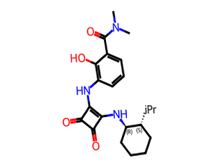 CC(C)[C@@H]1CCCC[C@H]1Nc1c(Nc2cccc(C(=O)N(C)C)c2O)c(=O)c1=O